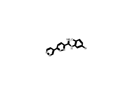 O=C(Nc1cc(Br)ccc1C(=O)O)c1ccc(-c2ccnnc2)nn1